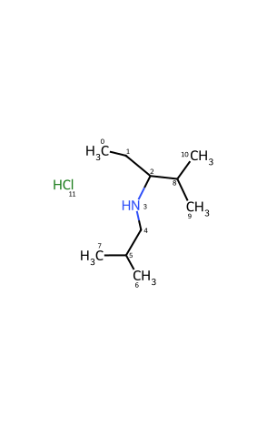 CCC(NCC(C)C)C(C)C.Cl